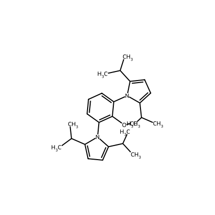 COc1c(-n2c(C(C)C)ccc2C(C)C)cccc1-n1c(C(C)C)ccc1C(C)C